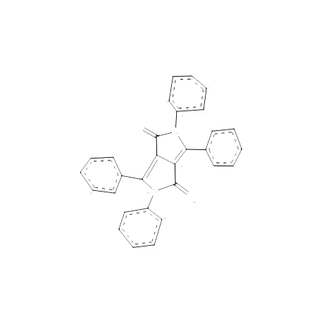 O=C1C2=C(c3ccccc3)N(c3ccccc3)C(=O)C2=C(c2ccccc2)N1c1ccccc1